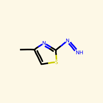 Cc1csc(N=N)n1